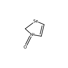 O=[N+]1C=C[Se]C1